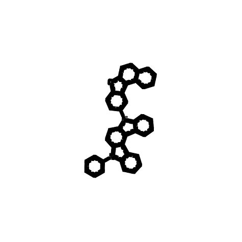 c1ccc(-n2c3ccccc3c3c4c5ccccc5n(-c5ccc6oc7ccc8ccccc8c7c6c5)c4ccc32)cc1